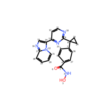 O=C(NO)c1ccc(C2(c3nccc(-c4cnc5ccccn45)n3)CC2)cc1